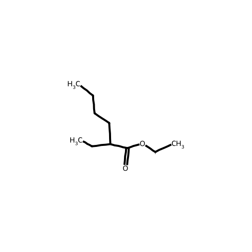 C[CH]OC(=O)C(CC)CCCC